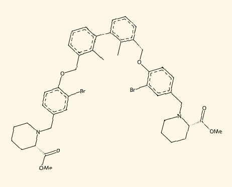 COC(=O)[C@@H]1CCCCN1Cc1ccc(OCc2cccc(-c3cccc(COc4ccc(CN5CCCC[C@H]5C(=O)OC)cc4Br)c3C)c2C)c(Br)c1